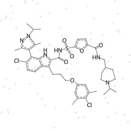 Cc1cc(OCCCc2c(C(=O)NS(=O)(=O)c3ccc(C(=O)NCC4CCN(C(C)C)CC4)o3)[nH]c3c(-c4c(C)nn(C(C)C)c4C)c(Cl)ccc23)cc(C)c1Cl